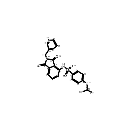 O=C1c2cccc(NS(=O)(=O)c3ccc(OC(F)F)cc3)c2C(=O)N1Cc1cccnc1